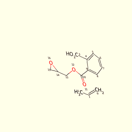 C=CC.O=C(O)c1ccccc1C(=O)OCC1CO1